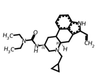 C=Cc1[nH]c2cccc3c2c1C[C@@H]1C3C[C@H](NC(=O)N(CC)CC)CN1CC1CC1